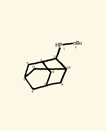 CCCCPC1C2CC3CC(C2)CC1C3